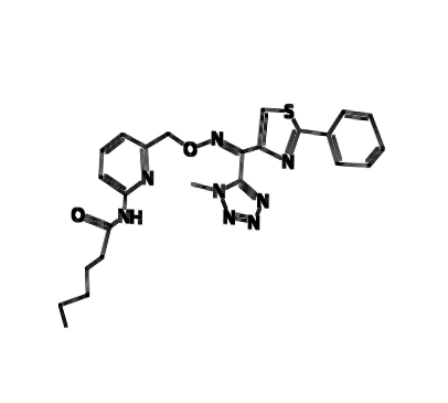 CCCCCC(=O)Nc1cccc(CON=C(c2csc(-c3ccccc3)n2)c2nnnn2C)n1